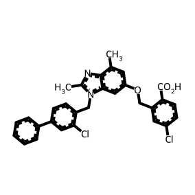 Cc1cc(OCc2cc(Cl)ccc2C(=O)O)cc2c1nc(C)n2Cc1ccc(-c2ccccc2)cc1Cl